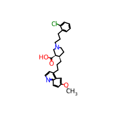 COc1ccc2nccc(CCC[C@@H]3CCN(CCCc4ccccc4Cl)C[C@@H]3C(=O)O)c2c1